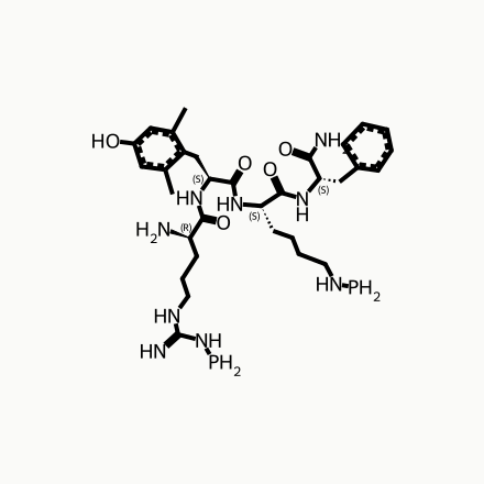 Cc1cc(O)cc(C)c1C[C@H](NC(=O)[C@H](N)CCCNC(=N)NP)C(=O)N[C@@H](CCCCNP)C(=O)N[C@@H](Cc1ccccc1)C(N)=O